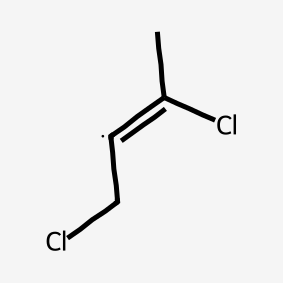 CC(Cl)=[C]CCl